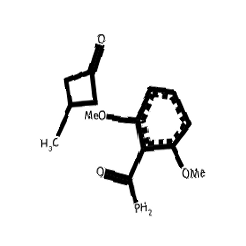 CC1CC(=O)C1.COc1cccc(OC)c1C(=O)P